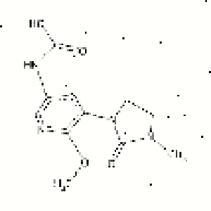 COc1ncc(NC(=O)O)cc1N1CCN(C)C1=O